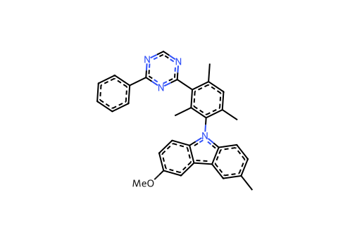 COc1ccc2c(c1)c1cc(C)ccc1n2-c1c(C)cc(C)c(-c2ncnc(-c3ccccc3)n2)c1C